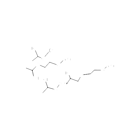 CCCCOC(C)O.CCCCOCCOC(C)O.CCCCOCCOCC(C)O.CCOC(C)O